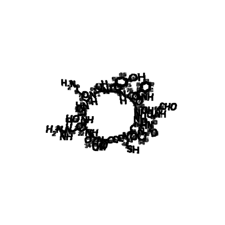 C[C@@H]1NC(=O)C(CCCCN)NC(=O)[C@H]([C@@H](C)O)NC(=O)C(CCCNC(=N)N)NC(=O)[C@H]([C@@H](C)O)NC(=O)CCCN(CCS)C(=O)C[C@@H](C(=O)N2CCC[C@H]2C(=O)NCC(=O)NCC=O)NN[C@@H](CO)C(=O)C(=O)[C@H](Cc2c[nH]c3ccccc23)NC(=O)C(Cc2ccc(O)cc2)NC1=O